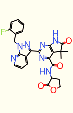 CC1(C)C(=O)Nc2nc(-c3nn(Cc4ccccc4F)c4ncccc34)nc(C(=O)NC3CCOC3=O)c21